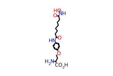 NC(CCOc1ccc(NC(=O)CCCCCCC(=O)NO)cc1)C(=O)O